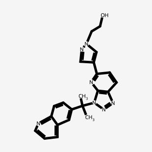 CC(C)(c1ccc2ncccc2c1)n1nnc2ccc(-c3cnn(CCO)c3)nc21